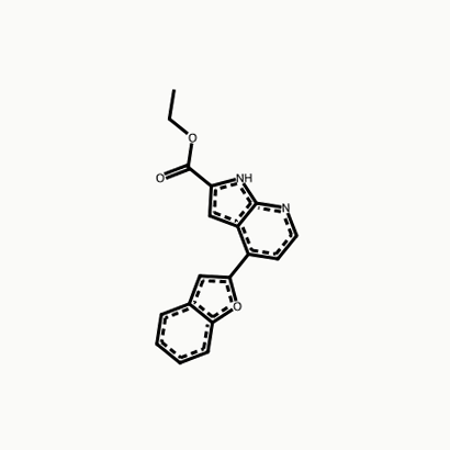 CCOC(=O)c1cc2c(-c3cc4ccccc4o3)ccnc2[nH]1